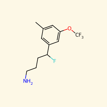 Cc1cc(OC(F)(F)F)cc(C(F)CCCN)c1